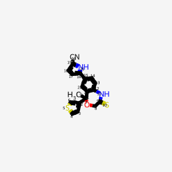 CC1(c2ccsc2)OCC(=S)Nc2ccc(-c3ccc(C#N)[nH]3)cc21